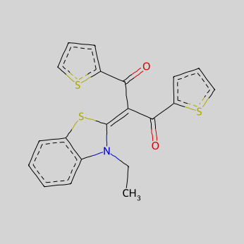 CCN1C(=C(C(=O)c2cccs2)C(=O)c2cccs2)Sc2ccccc21